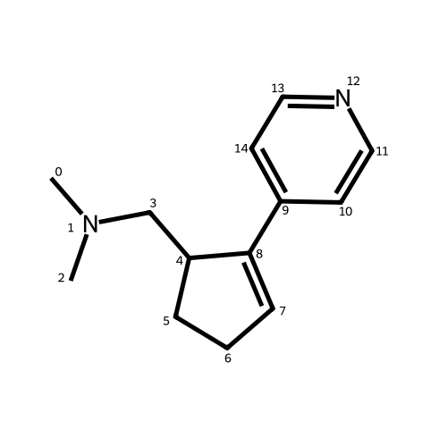 CN(C)CC1CCC=C1c1ccncc1